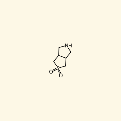 O=S1(=O)CC2CNCC2C1